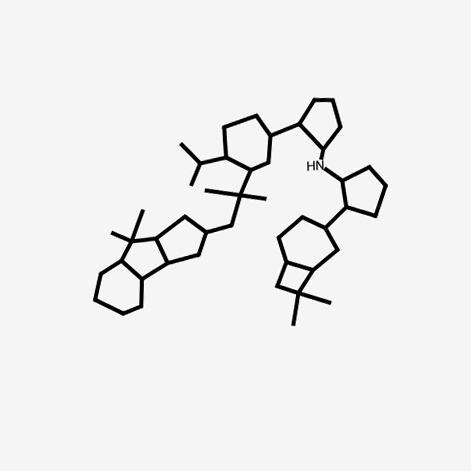 CC(C)C1CCC(C2CCCC2NC2CCCC2C2CCC3CC(C)(C)C3C2)CC1C(C)(C)CC1CC2C3CCCCC3C(C)(C)C2C1